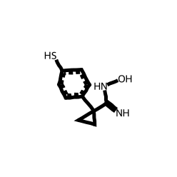 N=C(NO)C1(c2ccc(S)cc2)CC1